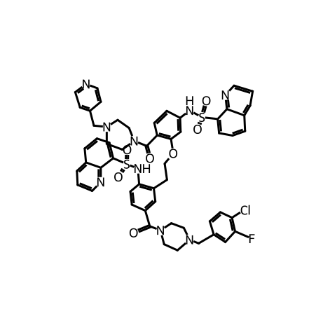 O=C(c1ccc(NS(=O)(=O)c2cccc3cccnc23)c(CCOc2cc(NS(=O)(=O)c3cccc4cccnc34)ccc2C(=O)N2CCN(Cc3ccncc3)CC2)c1)N1CCN(Cc2ccc(Cl)c(F)c2)CC1